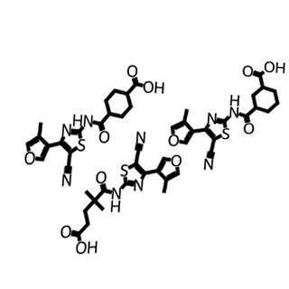 Cc1cocc1-c1nc(NC(=O)C(C)(C)CCC(=O)O)sc1C#N.Cc1cocc1-c1nc(NC(=O)C2CCC(C(=O)O)CC2)sc1C#N.Cc1cocc1-c1nc(NC(=O)C2CCCC(C(=O)O)C2)sc1C#N